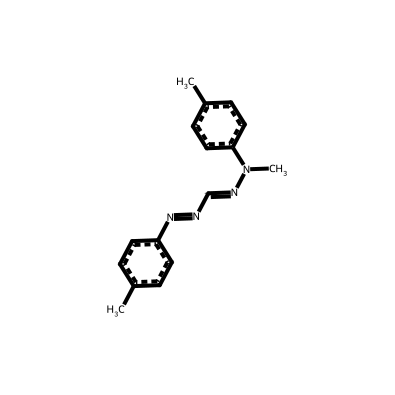 Cc1ccc(N=N[C]=NN(C)c2ccc(C)cc2)cc1